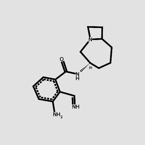 N=Cc1c(N)cccc1C(=O)N[C@H]1CCCC2CCN2C1